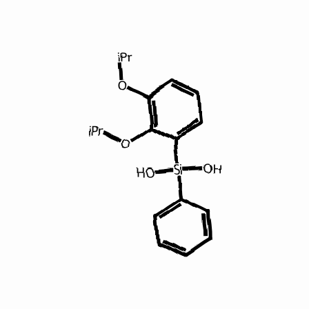 CC(C)Oc1cccc([Si](O)(O)c2ccccc2)c1OC(C)C